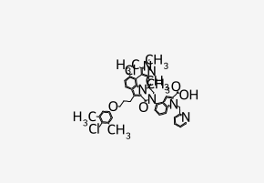 Cc1cc(OCCCc2c3n(c4c(-c5c(C)nn(C)c5C)c(Cl)ccc24)C(C)CN(c2cccc4c2cc(C(=O)O)n4Cc2ccccn2)C3=O)cc(C)c1Cl